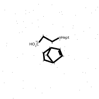 C1=CC2CCC1C2.CCCCCCCCCC(=O)O